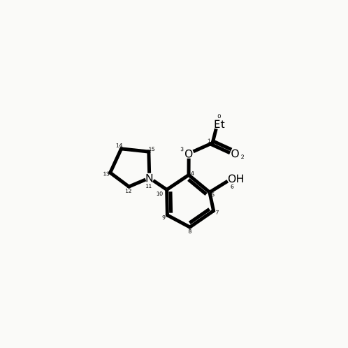 CCC(=O)Oc1c(O)cccc1N1CCCC1